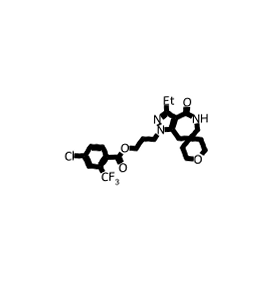 CCc1nn(CCCOC(=O)c2ccc(Cl)cc2C(F)(F)F)c2c1C(=O)NCC1(CCOCC1)C2